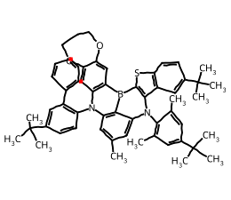 Cc1cc2c3c(c1)N(c1c(C)cc(C(C)(C)C)cc1C)c1c(sc4ccc(C(C)(C)C)cc14)B3c1cc3c(cc1N2c1ccc(C(C)(C)C)cc1-c1ccccc1)OCCCO3